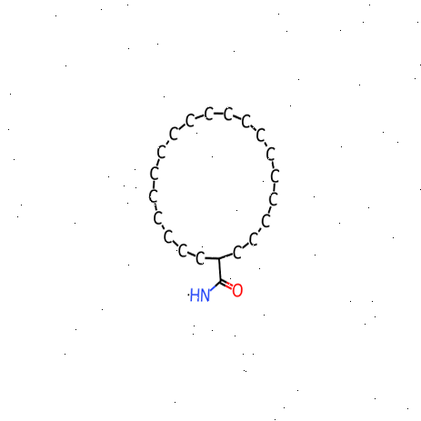 [NH]C(=O)C1CCCCCCCCCCCCCCCCCCC1